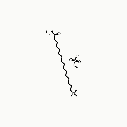 COS(=O)(=O)[O-].C[N+](C)(C)CCCCCCCCCCCCCCCC(N)=O